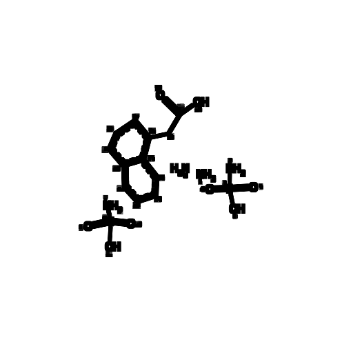 N.N.NS(=O)(=O)O.NS(=O)(=O)O.O=C(O)Cc1cccc2ccccc12